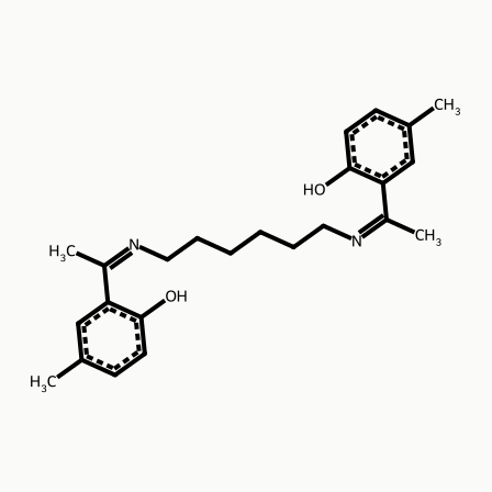 C/C(=N/CCCCCC/N=C(/C)c1cc(C)ccc1O)c1cc(C)ccc1O